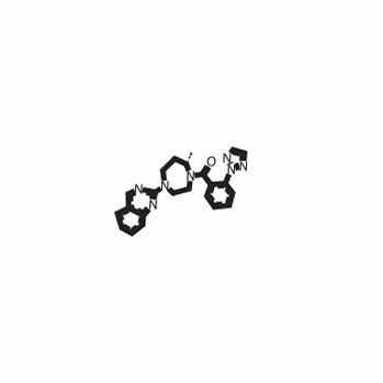 C[C@H]1CCN(c2ncc3ccccc3n2)CCN1C(=O)c1ccccc1-n1nccn1